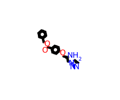 N[C@@H](COc1ccc(C(=O)OCc2ccccc2)cc1)Cn1ccnn1